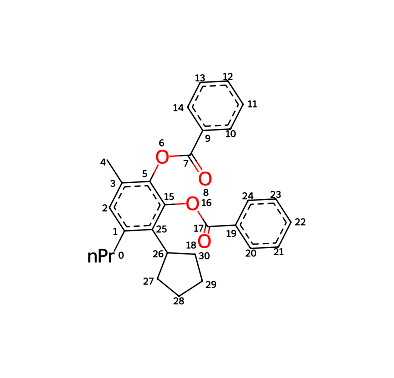 CCCc1cc(C)c(OC(=O)c2ccccc2)c(OC(=O)c2ccccc2)c1C1CCCC1